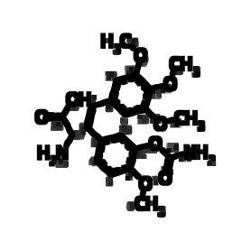 COc1ccc(/C=C\c2cc(OC)c(OC)c(OC)c2)cc1OC(N)=O.NCC(=O)O